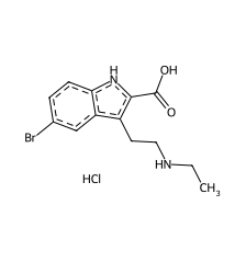 CCNCCc1c(C(=O)O)[nH]c2ccc(Br)cc12.Cl